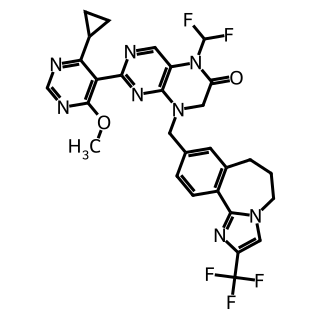 COc1ncnc(C2CC2)c1-c1ncc2c(n1)N(Cc1ccc3c(c1)CCCn1cc(C(F)(F)F)nc1-3)CC(=O)N2C(F)F